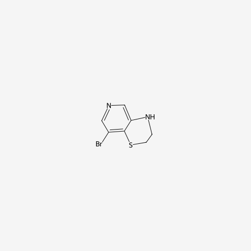 Brc1cncc2c1SCCN2